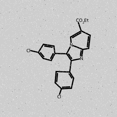 CCOC(=O)c1ccc2nc(-c3ccc(Cl)cc3)c(-c3ccc(Cl)cc3)n2c1